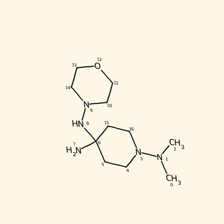 CN(C)N1CCC(N)(NN2CCOCC2)CC1